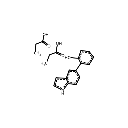 CCC(=O)O.CCC(=O)O.Oc1ccccc1-c1ccc2[nH]ccc2c1